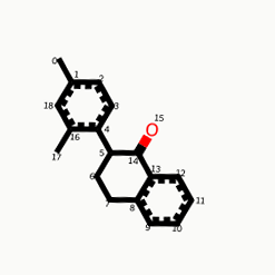 Cc1ccc(C2CCc3ccccc3C2=O)c(C)c1